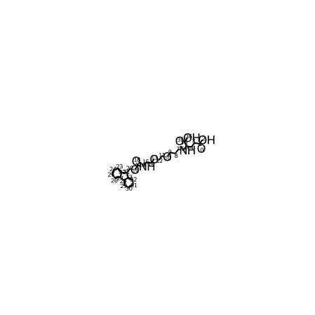 O=C(O)CCC(NCCCOCCOCCNC(=O)OCC1c2ccccc2-c2ccccc21)C(=O)O